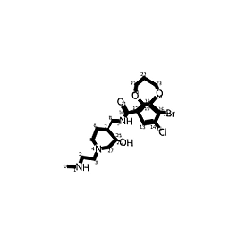 CNCCN1CC[C@@H](CNC(=O)c2cc(Cl)c(Br)c3c2OCCCO3)[C@H](O)C1